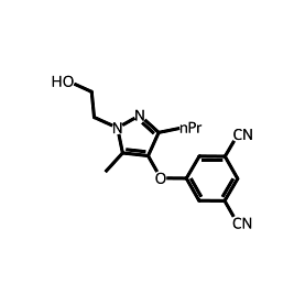 CCCc1nn(CCO)c(C)c1Oc1cc(C#N)cc(C#N)c1